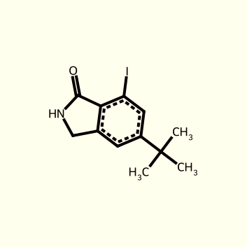 CC(C)(C)c1cc(I)c2c(c1)CNC2=O